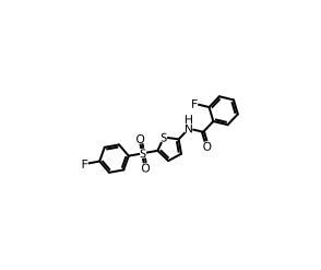 O=C(Nc1ccc(S(=O)(=O)c2ccc(F)cc2)s1)c1ccccc1F